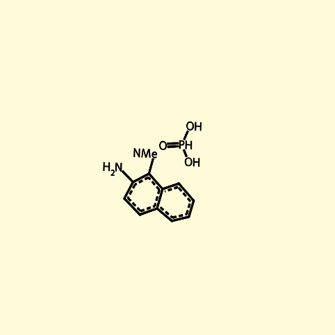 CNc1c(N)ccc2ccccc12.O=[PH](O)O